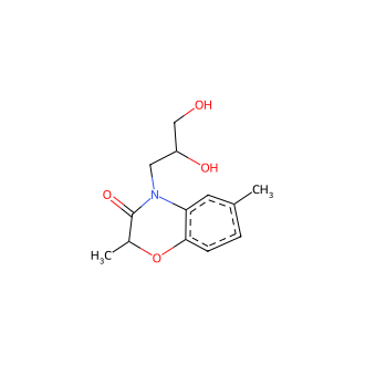 Cc1ccc2c(c1)N(CC(O)CO)C(=O)C(C)O2